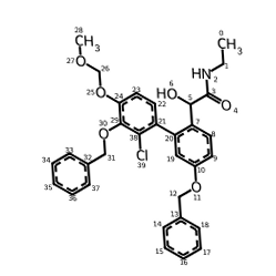 CCNC(=O)C(O)c1ccc(OCc2ccccc2)cc1-c1ccc(OCOC)c(OCc2ccccc2)c1Cl